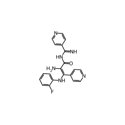 N=C(NC(=O)/C(N)=C(/Nc1ccccc1F)c1ccncc1)c1ccncc1